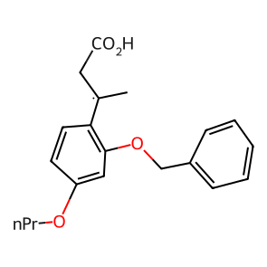 CCCOc1ccc([C](C)CC(=O)O)c(OCc2ccccc2)c1